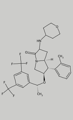 Cc1ccccc1[C@@H]1[C@@H](O[C@H](C)c2cc(C(F)(F)F)cc(C(F)(F)F)c2)CN2C(=O)C(NC3CCOCC3)C[C@@H]12